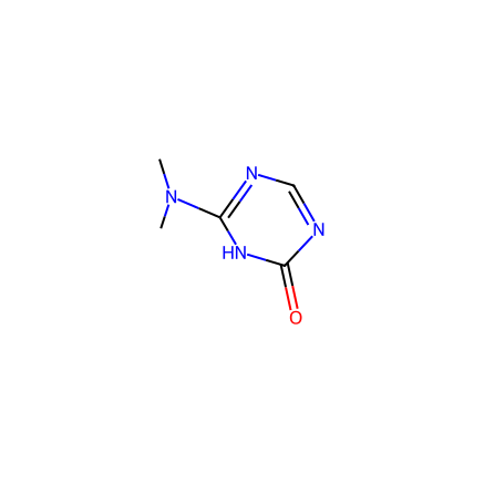 CN(C)c1ncnc(=O)[nH]1